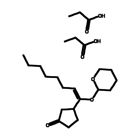 CCC(=O)O.CCC(=O)O.CCCCCCC=C(OC1CCCCO1)C1CCC(=O)C1